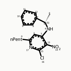 CCCCCc1cc(N[C@@H](C)c2ccccc2)c([N+](=O)[O-])c(Cl)n1